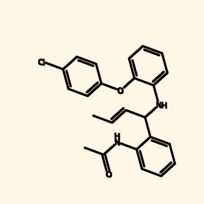 CC=CC(Nc1ccccc1Oc1ccc(Cl)cc1)c1ccccc1NC(C)=O